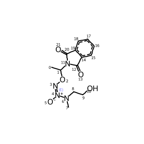 CC(O/N=[N+](/[O-])N(C)CCO)N1C(=O)c2ccccc2C1=O